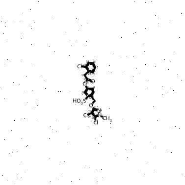 Cn1nc(OCc2ccc(OC(=O)Cc3ccccc3Cl)cc2S(=O)(=O)O)c(Cl)c1Cl